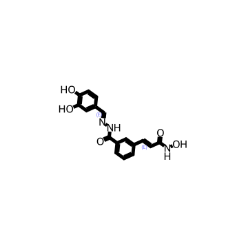 O=C(/C=C/c1cccc(C(=O)N/N=C/c2ccc(O)c(O)c2)c1)NO